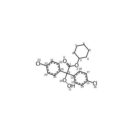 O=C(OC1CCCCC1)C(OO)(c1ccc(Cl)cc1)c1ccc(Cl)cc1